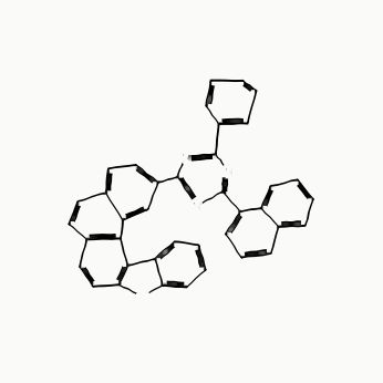 c1ccc(-c2nc(-c3ccc4ccc5ccc6oc7ccccc7c6c5c4c3)nc(-c3cccc4ccccc34)n2)cc1